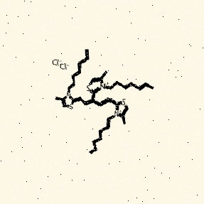 CCCCCCCN1C(C)=CSC1=CC=C(C=Cc1scc(C)[n+]1CCCCCCC)c1scc(C)[n+]1CCCCCCC.[Cl-].[Cl-]